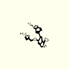 Cn1ccc(COc2cc3c(cc2-c2ccc4nn(C)cc4c2)C(=O)NC3)n1